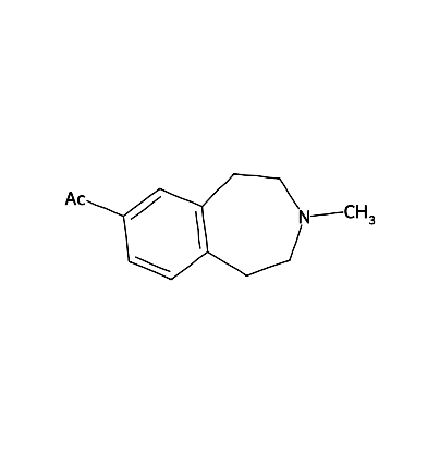 CC(=O)c1ccc2c(c1)CCN(C)CC2